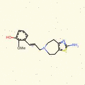 COc1c(O)cccc1/C=C/CN1CCc2nc(N)sc2CC1